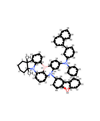 CC12CCCCC1(C)N1c3cccc4c3B(c3ccc(N(c5ccccc5)c5cccc(-c6cccc7ccccc67)c5)cc3N4c3ccc4oc5ccccc5c4c3)c3cccc2c31